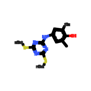 CCCCCCCCSc1nc(Nc2cc(C)c(O)c(C(C)(C)C)c2)nc(SCCCCCCCC)n1